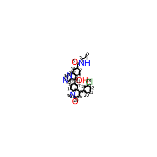 CCCNC(=O)c1ccc(C(O)(c2ccc3c(c2)c(-c2cccc(Cl)c2)cc(=O)n3C)c2cncn2C)cc1